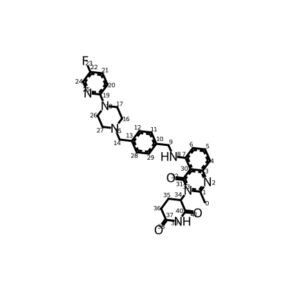 Cc1nc2cccc(NCc3ccc(CN4CCN(c5ccc(F)cn5)CC4)cc3)c2c(=O)n1C1CCC(=O)NC1=O